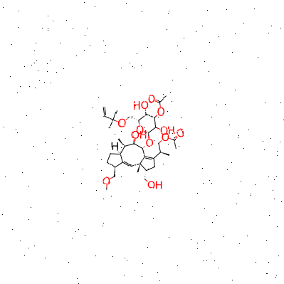 C=CC(C)(C)OC[C@H]1O[C@H](O[C@@H]2C3=C([C@H](C)COC(C)=O)C[C@H](CO)[C@]3(C)/C=C3/[C@@H](COC)CC[C@H]3[C@@H](C)[C@H]2O)C(O)C(OC(C)=O)C1O